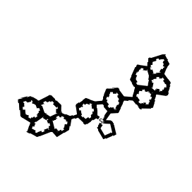 c1cc2ccc3ccc(-c4ccc5c(c4)[Si]4(CCCC4)c4cc(-c6ccc7ccc8cccc9ccc6c7c89)ccc4-5)c4ccc(c1)c2c34